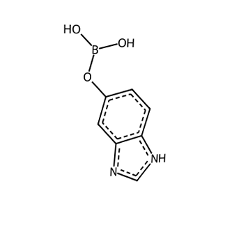 OB(O)Oc1ccc2[nH]cnc2c1